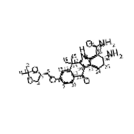 CC1(C)OC[C@H](COc2ccc3c(c2)C(C)(C)c2[nH]c4c(c2C3=O)=CC[C@@H](N)C=4C(N)=O)O1